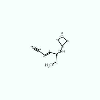 CCC(C=CC#N)NC1COC1